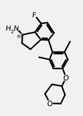 Cc1cc(OC2CCOCC2)cc(C)c1-c1ccc(F)c2c1CC[C@H]2N